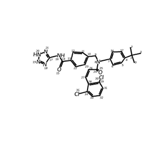 CC(C)(C)c1ccc(N(Cc2ccc(C(=O)Nc3nn[nH]n3)cc2)C(=O)C=Cc2c(Cl)cccc2Cl)cc1